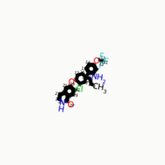 CCC(N)C1(c2ccc(OC(F)(F)F)cc2)CCC(Oc2cc3cc[nH]c(=O)c3cc2Cl)CC1